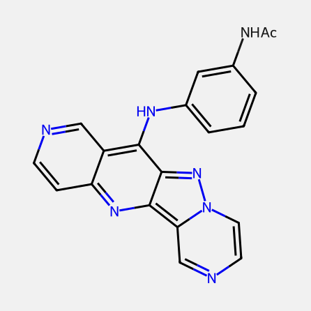 CC(=O)Nc1cccc(Nc2c3cnccc3nc3c2nn2ccncc32)c1